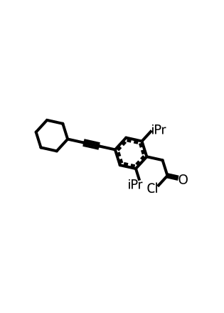 CC(C)c1cc(C#CC2CCCCC2)cc(C(C)C)c1CC(=O)Cl